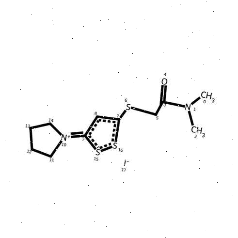 CN(C)C(=O)CSc1cc(=[N+]2CCCC2)ss1.[I-]